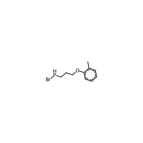 Cc1ccccc1OCCCPBr